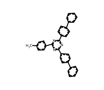 Cc1ccc(-c2nc(-c3ccc(-c4ccccc4)cc3)nc(-c3ccc(-c4ccccc4)cc3)n2)cc1